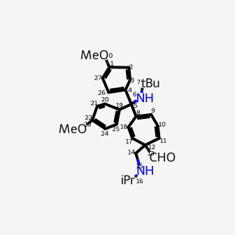 COc1ccc(C(NC(C)(C)C)(C2=CC=CC(C=O)(CNC(C)C)C=C2)c2ccc(OC)cc2)cc1